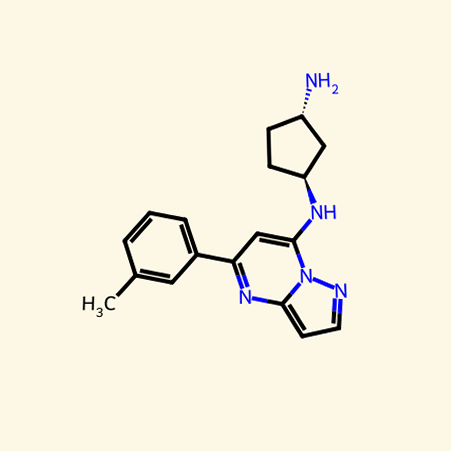 Cc1cccc(-c2cc(N[C@H]3CC[C@H](N)C3)n3nccc3n2)c1